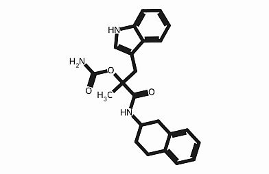 CC(Cc1c[nH]c2ccccc12)(OC(N)=O)C(=O)NC1CCc2ccccc2C1